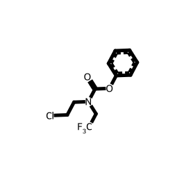 O=C(Oc1ccccc1)N(CCCl)CC(F)(F)F